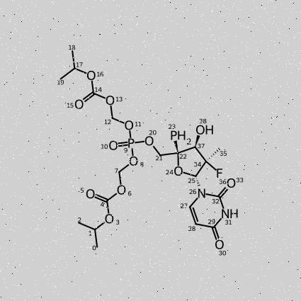 CC(C)OC(=O)OCOP(=O)(OCOC(=O)OC(C)C)OC[C@@]1(P)O[C@@H](n2ccc(=O)[nH]c2=O)[C@](C)(F)[C@@H]1O